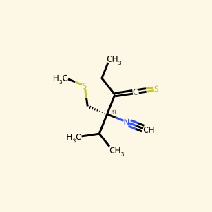 C#[N+][C@](CSC)(C(=C=S)CC)C(C)C